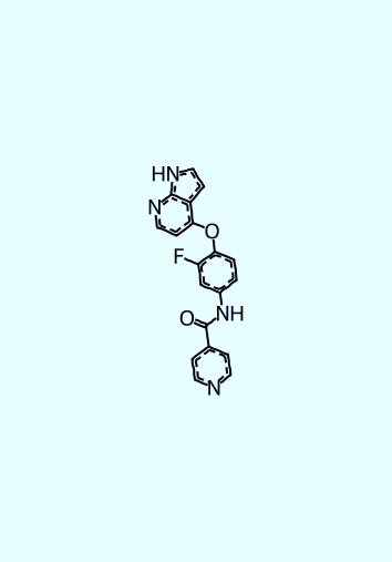 O=C(Nc1ccc(Oc2ccnc3[nH]ccc23)c(F)c1)c1ccncc1